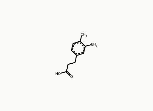 Bc1cc(CCC(=O)O)ccc1C